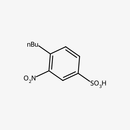 CCCCc1ccc(S(=O)(=O)O)cc1[N+](=O)[O-]